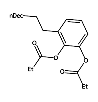 CCCCCCCCCCCCc1cccc(OC(=O)CC)c1OC(=O)CC